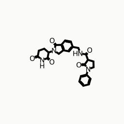 O=C1CCC(N2Cc3cc(CNC(=O)C4CCN(c5ccccc5)C4=O)ccc3C2=O)C(=O)N1